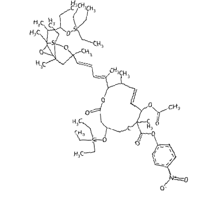 CCC(O[Si](CC)(CC)CC)C(C)C1OC1CC(C)(/C=C/C=C(\C)C1OC(=O)CC(O[Si](CC)(CC)CC)CCC(C)(C(=O)Oc2ccc([N+](=O)[O-])cc2)C(OC(C)=O)/C=C/C1C)O[Si](CC)(CC)CC